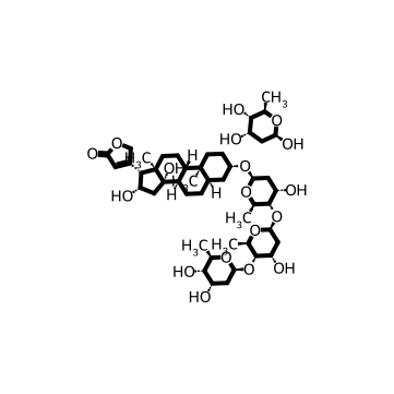 C[C@H]1O[C@@H](O)C[C@H](O)[C@@H]1O.C[C@H]1O[C@@H](O[C@H]2[C@@H](O)C[C@H](O[C@H]3[C@@H](O)C[C@H](O[C@H]4CC[C@@]5(C)[C@H](CC[C@@H]6[C@@H]5CC[C@]5(C)[C@@H](C7=CC(=O)OC7)[C@@H](O)C[C@]65O)C4)O[C@@H]3C)O[C@@H]2C)C[C@H](O)[C@@H]1O